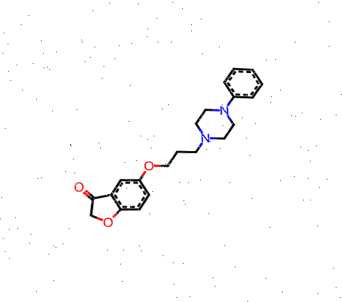 O=C1COc2ccc(OCCCN3CCN(c4ccccc4)CC3)cc21